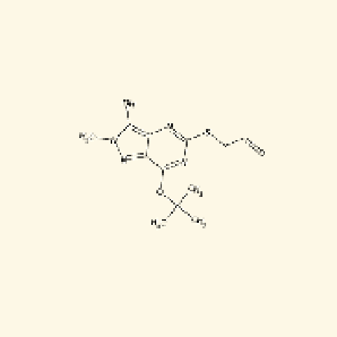 Cn1nc2c(OC(C)(C)C)nc(SCC=O)nc2c1O